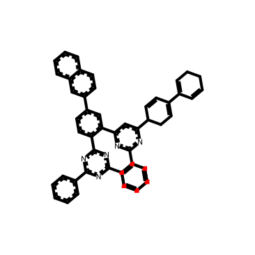 C1=CCCC(c2nc(-c3cc(-c4ccc5ccccc5c4)ccc3-c3nc(-c4ccccc4)nc(C4C=CC=CC4)n3)cc(C3C=CC(C4=CCCC=C4)=CC3)n2)=C1